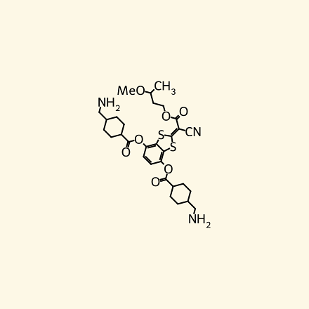 COC(C)CCOC(=O)C(C#N)=C1Sc2c(OC(=O)C3CCC(CN)CC3)ccc(OC(=O)C3CCC(CN)CC3)c2S1